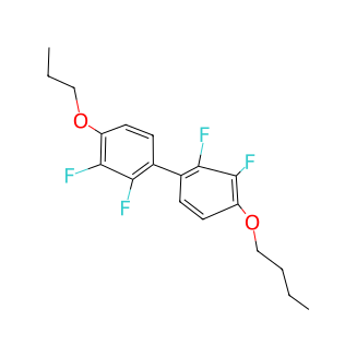 CCCCOc1ccc(-c2ccc(OCCC)c(F)c2F)c(F)c1F